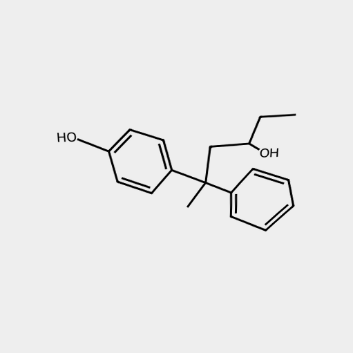 CCC(O)CC(C)(c1ccccc1)c1ccc(O)cc1